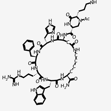 CC(=O)N1C[C@H](C(=O)N[C@H]2CC(=O)NCCCC[C@@H](C(N)=O)NC(=O)[C@H](Cc3c[nH]c4ccccc34)NC(=O)[C@H](CCCNC(=N)N)NC(=O)[C@@H](Cc3ccccc3)NC(=O)[C@H](Cc3c[nH]cn3)NC2=O)NC(=O)[C@@H]1CCCNC(=N)N